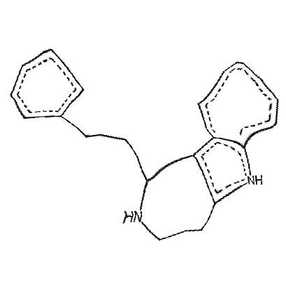 c1ccc(CCC2NCCc3[nH]c4ccccc4c32)cc1